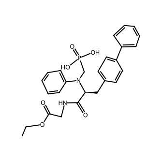 CCOC(=O)CNC(=O)[C@H](Cc1ccc(-c2ccccc2)cc1)N(CP(=O)(O)O)c1ccccc1